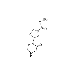 CC(C)(C)OC(=O)N1CCC(N2CCNCC2=O)C1